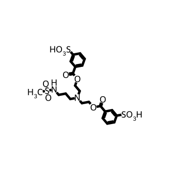 CS(=O)(=O)NCCCN(CCOC(=O)c1cccc(S(=O)(=O)O)c1)CCOC(=O)c1cccc(S(=O)(=O)O)c1